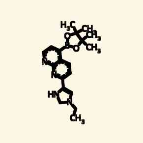 CCN1C=C(c2ccc3c(B4OC(C)(C)C(C)(C)O4)ccnc3n2)NC1